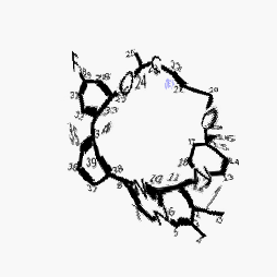 CCc1c(C)cn2cc3nc2c1N1CCC(C)(CC1)OC/C=C/CC(C)Oc1cc(F)ccc1-c1cccc-3c1